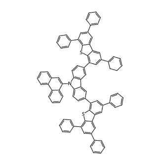 C1=CCCC(c2cc(-c3ccc4c(c3)c3cc(-c5cc(-c6ccccc6)cc6c5sc5c(-c7ccccc7)cc(-c7ccccc7)cc56)ccc3n4-c3cc4ccccc4c4ccccc34)c3sc4c(-c5ccccc5)cc(-c5ccccc5)cc4c3c2)=C1